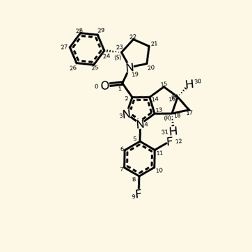 O=C(c1nn(-c2ccc(F)cc2F)c2c1C[C@H]1C[C@@H]21)N1CCC[C@H]1c1ccccc1